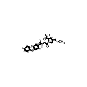 COCC1CC(C(N)=O)N(C(=O)CNC(=O)c2ccc(Oc3ccccc3)cc2)C1